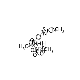 CC[C@H](C)[C@H](NC(=O)c1ccc(-c2csc(N3CCN(C)CC3)n2)cc1)C(=O)N1C[C@H](NC)[C@H]2OCC(=O)[C@H]21